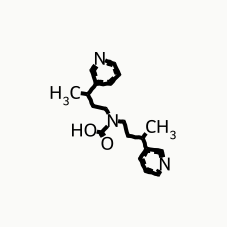 CC(CCN(CCC(C)c1cccnc1)C(=O)O)c1cccnc1